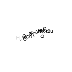 CC(C)(C)OC(=O)NC(COc1ccc(-c2ccnc(Nc3ccc(S(N)(=O)=O)cc3)n2)cc1)Cc1ccccc1